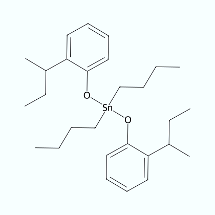 CCC[CH2][Sn]([CH2]CCC)([O]c1ccccc1C(C)CC)[O]c1ccccc1C(C)CC